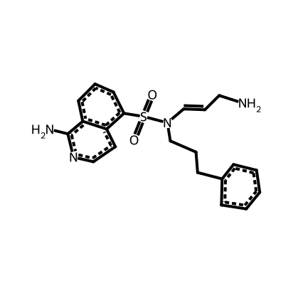 NCC=CN(CCCc1ccccc1)S(=O)(=O)c1cccc2c(N)nccc12